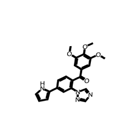 COc1cc(C(=O)c2ccc(-c3ccc[nH]3)cc2-n2cncn2)cc(OC)c1OC